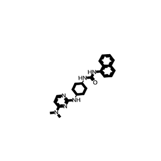 CN(C)c1ccnc(N[C@H]2CC[C@@H](NC(=O)Nc3cccc4ccccc34)CC2)n1